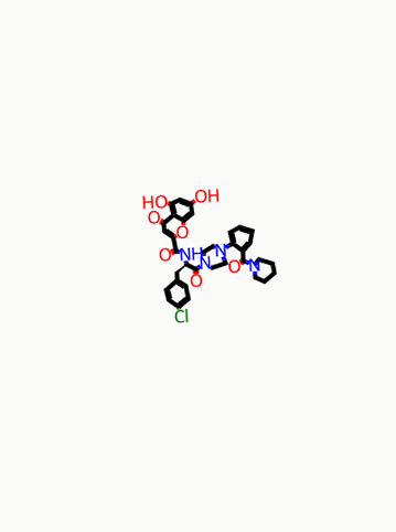 O=C(N[C@H](Cc1ccc(Cl)cc1)C(=O)N1CCN(c2ccccc2C(=O)N2CCCCC2)CC1)c1cc(=O)c2c(O)cc(O)cc2o1